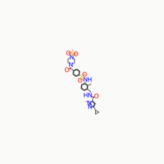 Cc1c(CNC(=O)c2cc(C3CC3)nn2C)cccc1NS(=O)(=O)c1ccc(C(=O)N2CCN(S(C)(=O)=O)CC2)cc1